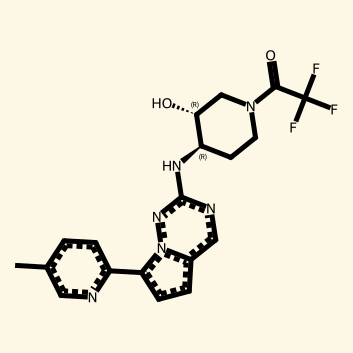 Cc1ccc(-c2ccc3cnc(N[C@@H]4CCN(C(=O)C(F)(F)F)C[C@H]4O)nn23)nc1